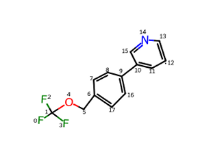 FC(F)(F)OCc1ccc(-c2c[c]cnc2)cc1